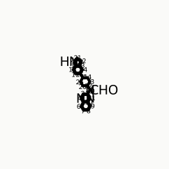 O=CN(c1cnc2ccccc2n1)C1CCC(c2ccc3[nH]ccc3c2)CC1